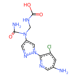 NC(=O)N(CNC(=O)O)c1cnn(-c2ncc(N)cc2Cl)c1